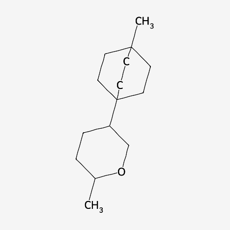 CC1CCC(C23CCC(C)(CC2)CC3)CO1